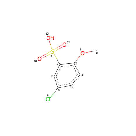 COc1ccc(Cl)cc1S(=O)(=O)O